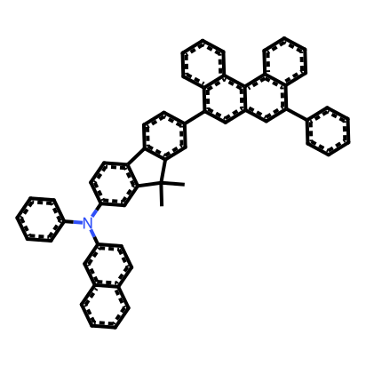 CC1(C)c2cc(-c3cc4cc(-c5ccccc5)c5ccccc5c4c4ccccc34)ccc2-c2ccc(N(c3ccccc3)c3ccc4ccccc4c3)cc21